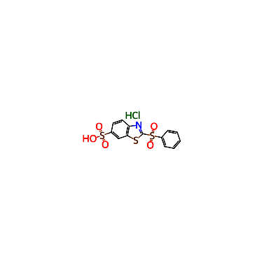 Cl.O=S(=O)(O)c1ccc2nc(S(=O)(=O)c3ccccc3)sc2c1